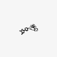 CCS(=O)(=O)N[C@H]1CCOC[C@@H]1COc1ccc(-c2cc(C)n(C)n2)cc1